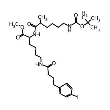 COC(=O)C(CCCCNC(=O)CCCc1ccc(I)cc1)NC(=O)C(C)CCCCNC(=O)OC(C)(C)C